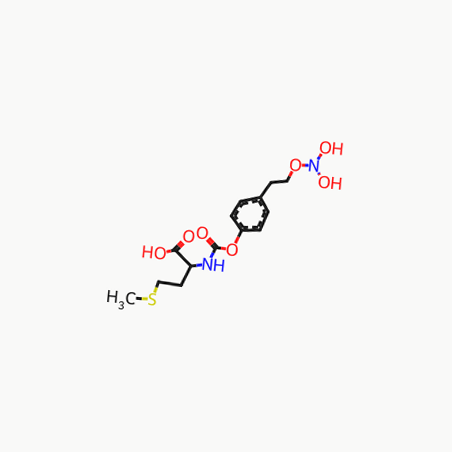 CSCCC(NC(=O)Oc1ccc(CCON(O)O)cc1)C(=O)O